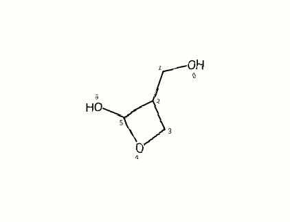 OCC1COC1O